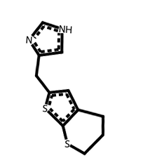 c1nc(Cc2cc3c(s2)SCCC3)c[nH]1